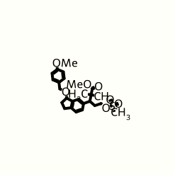 COC(=O)C(C)(C)C(CCOS(C)(=O)=O)c1ccc2c(c1)C(OCc1ccc(OC)cc1)CC2